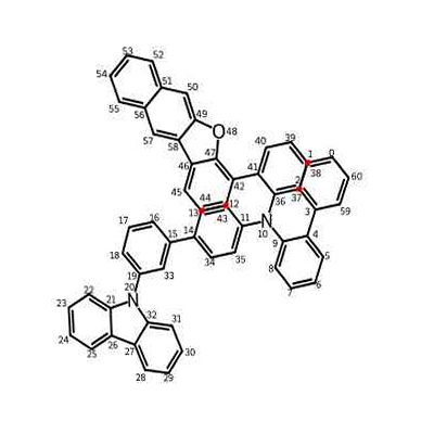 c1ccc(-c2ccccc2N(c2ccc(-c3cccc(-n4c5ccccc5c5ccccc54)c3)cc2)c2ccccc2-c2cccc3c2oc2cc4ccccc4cc23)cc1